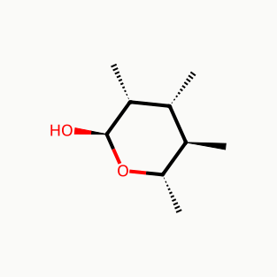 C[C@@H]1[C@@H](C)[C@H](C)O[C@@H](O)[C@@H]1C